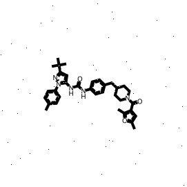 Cc1ccc(-n2nc(C(C)(C)C)cc2NC(=O)Nc2ccc(CC3CCN(C(=O)c4cc(C)oc4C)CC3)cc2)cc1